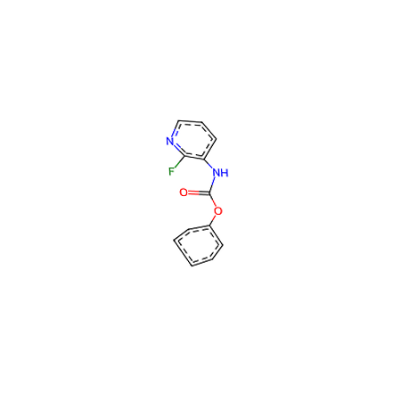 O=C(Nc1cccnc1F)Oc1ccccc1